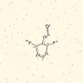 O=[C]Oc1c(F)cccc1F